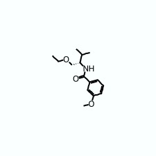 CCOC[C@@H](NC(=O)c1cccc(OC)c1)C(C)C